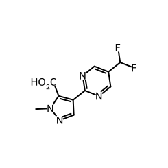 Cn1ncc(-c2ncc(C(F)F)cn2)c1C(=O)O